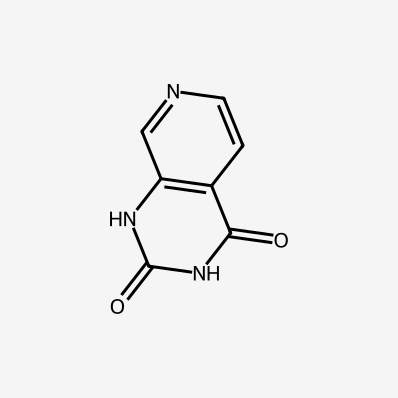 O=c1[nH]c(=O)c2ccncc2[nH]1